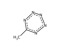 Cc1nnnnn1